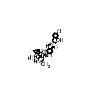 C[C@@H]1CN(C(=NC2CC3C[C@@H]([C@@H]2C)C3(C)C)Nc2ccc3c(=O)n(C(CO)Cc4ccc(Cl)cc4)cnc3c2)C[C@@H](C)N1